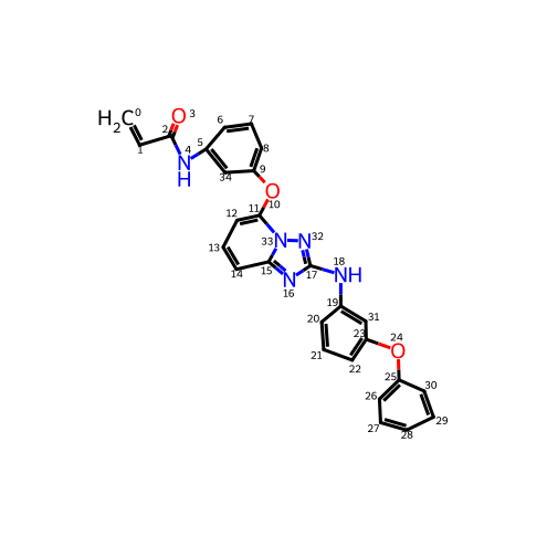 C=CC(=O)Nc1cccc(Oc2cccc3nc(Nc4cccc(Oc5ccccc5)c4)nn23)c1